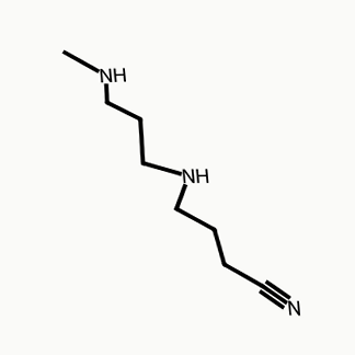 CNCCCNCCCC#N